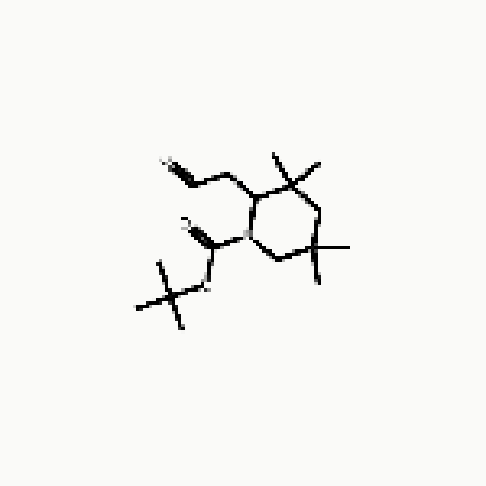 CC1(C)CN(C(=O)OC(C)(C)C)C(CC=O)C(C)(C)C1